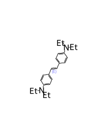 CCN(CC)c1ccc(/C=C/c2ccc(N(CC)CC)cc2)cc1